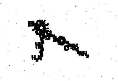 CCC(O)[C@H](C)[C@]12CCC(=O)[C@H]1[C@](C)([C@@H](CCCCNCCCN)OC(=O)CSc1ccc(CC(=O)NCCCN)cc1)[C@H](C)CC2